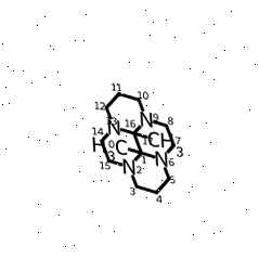 CC12N3CCCN1CCN1CCCN(CC3)C12C